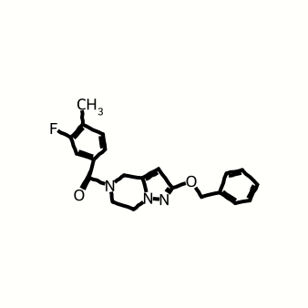 Cc1ccc(C(=O)N2CCn3nc(OCc4ccccc4)cc3C2)cc1F